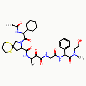 CCCC(NC(=O)C1CC2(CN1C(=O)C(NC(=O)OCC(C)C)C1CCCCC1)SCCCS2)C(=O)C(=O)NCC(=O)NC(C(=O)N(C)CCO)c1ccccc1